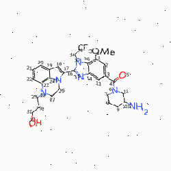 COc1cc(C(=O)N2CCCC(N)C2)cc2nc(-c3cc4cccc5c4n3CCN5CCCO)n(CC(F)(F)F)c12